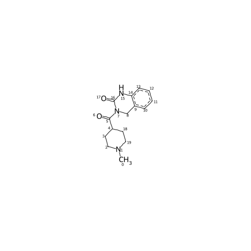 CN1CCC(C(=O)N2Cc3ccccc3NC2=O)CC1